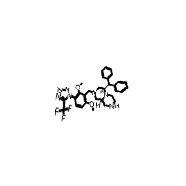 COc1ccc(-n2nnnc2C(F)(F)F)c(OC)c1CN1C[C@H]2CNCCN2[C@H](C(c2ccccc2)c2ccccc2)C1